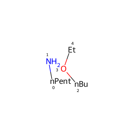 CCCCCN.CCCCOCC